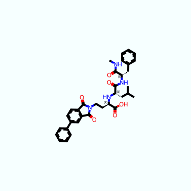 CNC(=O)[C@H](Cc1ccccc1)NC(=O)[C@H](CC(C)C)N[C@H](CCN1C(=O)c2ccc(-c3ccccc3)cc2C1=O)C(=O)O